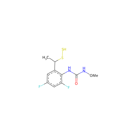 CONC(=O)Nc1c(F)cc(F)cc1C(C)SS